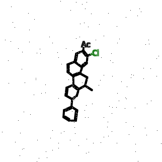 CC(=O)c1cc2ccc3c(c2cc1Cl)CC(C)C1=C3C=CC(c2ccccc2)C1